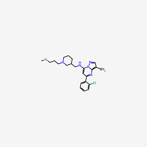 Bc1cnn2c(NCC3CCCN(CCCSC)C3)cc(-c3ccccc3Cl)nc12